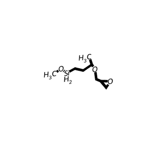 CO[SiH2]CCC(C)OCC1CO1